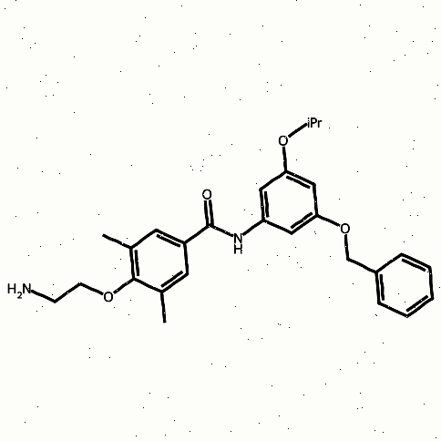 Cc1cc(C(=O)Nc2cc(OCc3ccccc3)cc(OC(C)C)c2)cc(C)c1OCCN